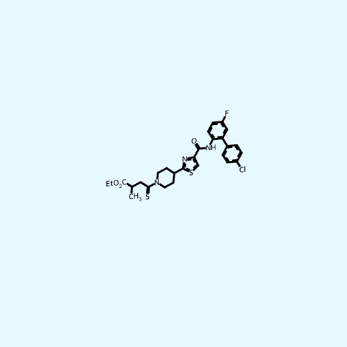 CCOC(=O)C(C)CC(=S)N1CCC(c2nc(C(=O)Nc3ccc(F)cc3-c3ccc(Cl)cc3)cs2)CC1